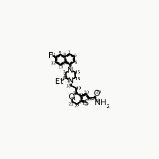 CC[C@@H]1CN(c2cccc3cc(F)ccc23)CCN1CCC1OCCc2sc(C(N)=O)cc21